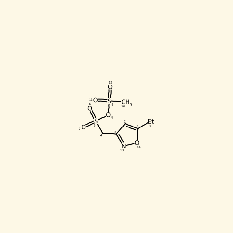 CCc1cc(CS(=O)(=O)OS(C)(=O)=O)no1